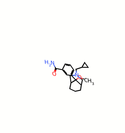 COC1(c2cccc(C(N)=O)c2)C2CCCC1CN(CC1CC1)C2